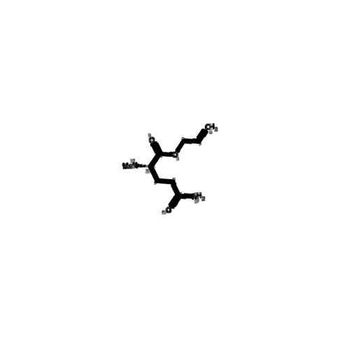 C=CCOC(=O)[C@H](CCC(N)=O)NC